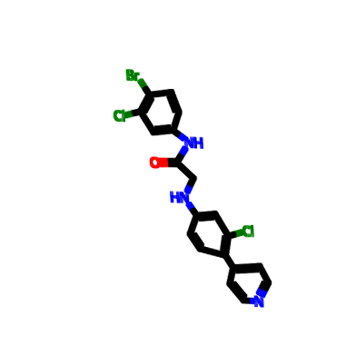 O=C(CNc1ccc(-c2ccncc2)c(Cl)c1)Nc1ccc(Br)c(Cl)c1